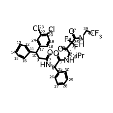 CC(C)[C@H](NC(=O)[C@@H](NC(=O)CC(c1ccccc1)c1ccc(Cl)c(Cl)c1)c1ccccc1)C(=O)C(F)(F)C(=O)NCC(F)(F)F